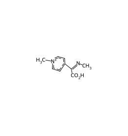 CN=C(C(=O)O)c1cc[n+](C)cc1